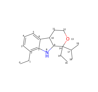 CCc1cccc2c1NC1C2CCOC1(CC)C(C)C